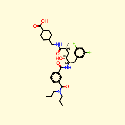 CCCN(CCC)C(=O)c1cccc(C(=O)N[C@@H](Cc2cc(F)cc(F)c2)[C@@H](O)C[C@@H](C)C(=O)NCC2CCC(C(=O)O)CC2)c1